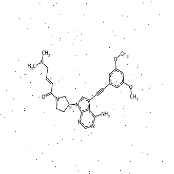 COc1cc(C#Cc2cn([C@H]3CCN(C(=O)/C=C/CN(C)C)C3)c3ncnc(N)c23)cc(OC)c1